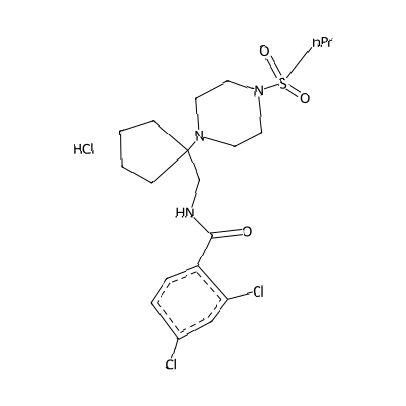 CCCS(=O)(=O)N1CCN(C2(CNC(=O)c3ccc(Cl)cc3Cl)CCCC2)CC1.Cl